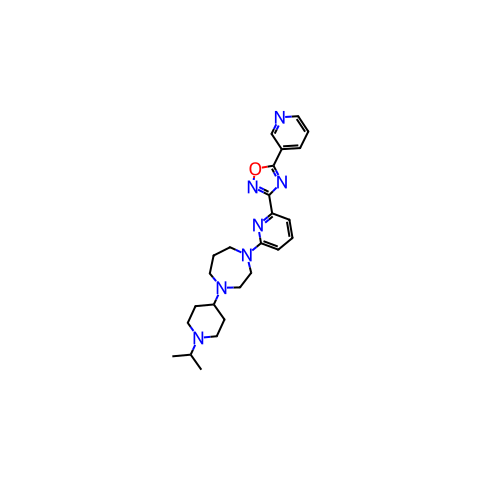 CC(C)N1CCC(N2CCCN(c3cccc(-c4noc(-c5cccnc5)n4)n3)CC2)CC1